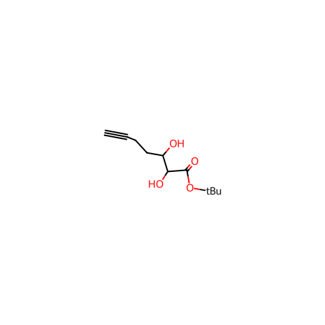 C#CCCC(O)C(O)C(=O)OC(C)(C)C